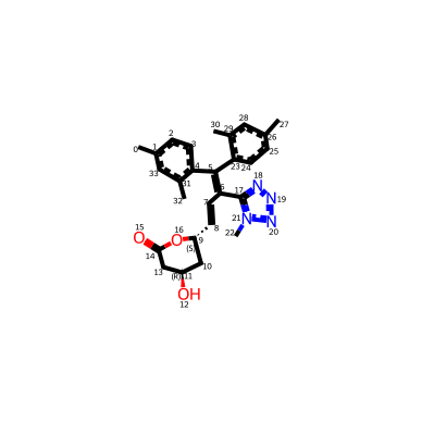 Cc1ccc(C(=C(C=C[C@@H]2C[C@@H](O)CC(=O)O2)c2nnnn2C)c2ccc(C)cc2C)c(C)c1